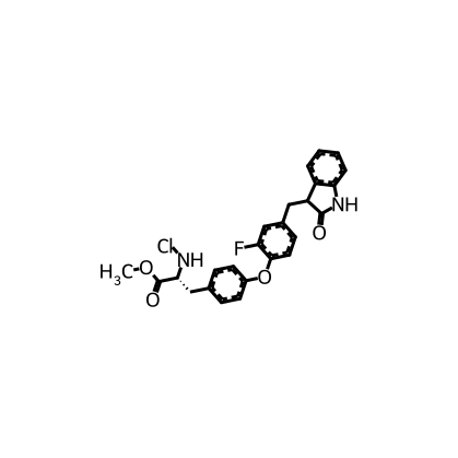 COC(=O)[C@@H](Cc1ccc(Oc2ccc(CC3C(=O)Nc4ccccc43)cc2F)cc1)NCl